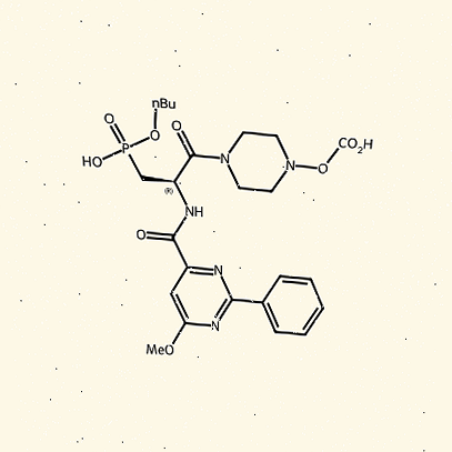 CCCCOP(=O)(O)C[C@H](NC(=O)c1cc(OC)nc(-c2ccccc2)n1)C(=O)N1CCN(OC(=O)O)CC1